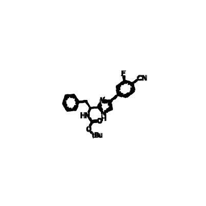 CC(C)(C)OC(=O)N[C@@H](Cc1ccccc1)c1nc(-c2ccc(C#N)c(F)c2)c[nH]1